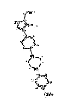 CCCC(C)n1ncn(-c2ccc(N3CCN(c4ccc(OC)cc4)CC3)cc2)c1=O